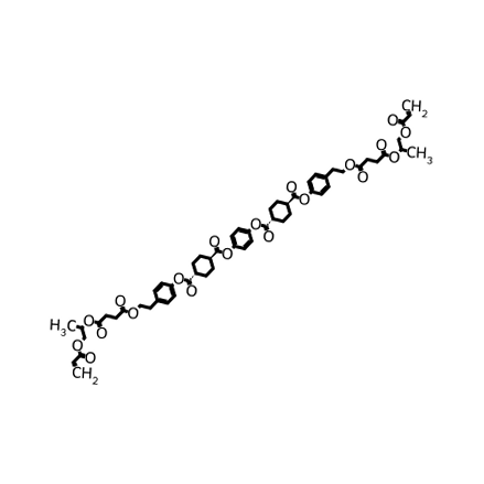 C=CC(=O)OCC(C)OC(=O)CCC(=O)OCCc1ccc(OC(=O)[C@H]2CC[C@H](C(=O)Oc3ccc(OC(=O)[C@H]4CC[C@H](C(=O)Oc5ccc(CCOC(=O)CCC(=O)OC(C)COC(=O)C=C)cc5)CC4)cc3)CC2)cc1